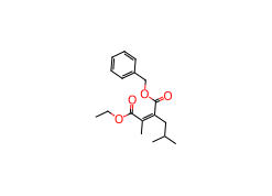 CCOC(=O)C(C)=C(CC(C)C)C(=O)OCc1ccccc1